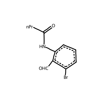 CCCC(=O)Nc1cccc(Br)c1C=O